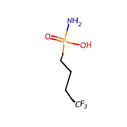 NP(=O)(O)CCCC(F)(F)F